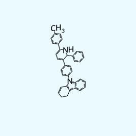 Cc1ccc(C2=CC=C(c3ccc(-n4c5c(c6ccccc64)CCC=C5)cc3)C(c3ccccc3)N2)cc1